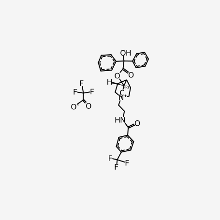 O=C(NCC[N+]12CCC(CC1)[C@@H](OC(=O)C(O)(c1ccccc1)c1ccccc1)C2)c1ccc(C(F)(F)F)cc1.O=C([O-])C(F)(F)F